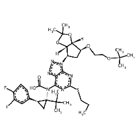 CCCSc1nc(N(C(=O)O)[C@]2(C(C)(C)C)C[C@H]2c2ccc(F)c(F)c2)c2nnn([C@@H]3C[C@H](OCCOC(C)(C)C)[C@H]4OC(C)(C)O[C@H]43)c2n1